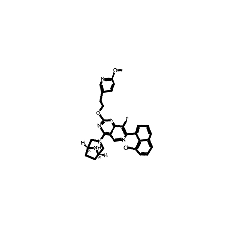 COc1ccc(CCOc2nc(N3C[C@H]4CC[C@@H](C3)N4)c3cnc(-c4cccc5cccc(Cl)c45)c(F)c3n2)cn1